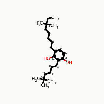 CCC(C)(C)CCCCCc1ccc(O)c(CCCCC(C)(C)C)c1O